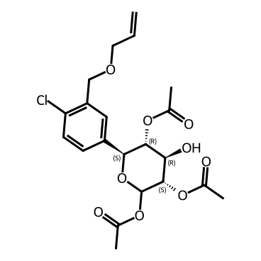 C=CCOCc1cc([C@@H]2OC(OC(C)=O)[C@@H](OC(C)=O)[C@H](O)[C@H]2OC(C)=O)ccc1Cl